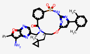 Cc1cccc(C)c1-c1cc2nc(n1)NS(=O)(=O)c1cccc(c1)C(=O)N(Cc1cnc3oc(C(C)C)c(N)c3n1)[C@H](CC1(C)CC1)CO2